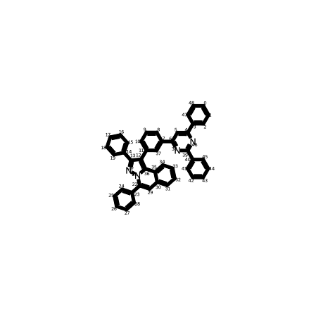 c1ccc(-c2cc(-c3cccc(-c4c(-c5ccccc5)nn5c(-c6ccccc6)cc6ccccc6c45)c3)nc(-c3ccccc3)n2)cc1